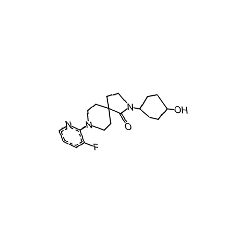 O=C1N(C2CCC(O)CC2)CCC12CCN(c1ncccc1F)CC2